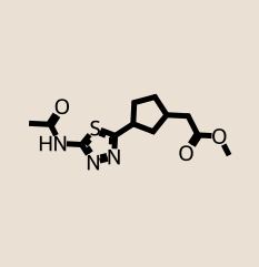 COC(=O)CC1CCC(c2nnc(NC(C)=O)s2)C1